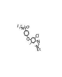 CCN(C)/C=N\c1cc(C)c(Oc2ccc(S(C)(=O)=NC(F)(F)F)cc2)cc1Cl